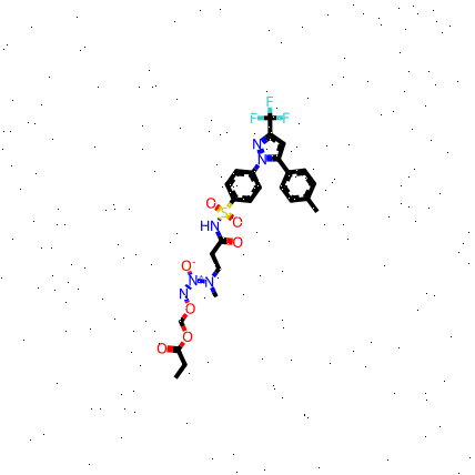 CCC(=O)OCO/N=[N+](/[O-])N(C)CCC(=O)NS(=O)(=O)c1ccc(-n2nc(C(F)(F)F)cc2-c2ccc(C)cc2)cc1